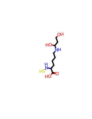 O=C(O)C(CCCCNC(O)CCO)NS